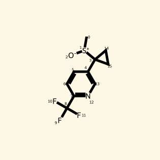 C[S+]([O-])C1(c2ccc(C(F)(F)F)nc2)CC1